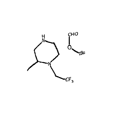 CC(C)(C)OC=O.CC1CNCCN1CC(F)(F)F